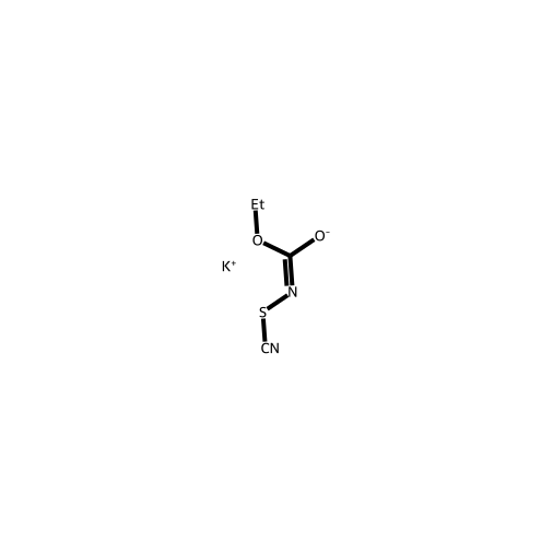 CCO/C([O-])=N\SC#N.[K+]